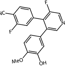 COc1ccc(-c2cncc(F)c2-c2ccc(C#N)c(F)c2)cc1O